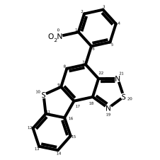 O=[N+]([O-])c1ccccc1-c1cc2sc3ccccc3c2c2nsnc12